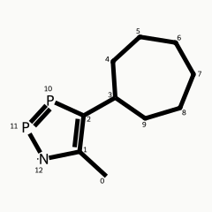 CC1=C(C2CCCCCC2)P=P[N]1